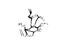 CC(C)N(C(C)C)C(OCCC#N)N(C(C)C)C(C)C